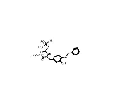 CNC(=O)C(Cc1ccc(OCc2ccccc2)c(O)c1)NC(=O)OC(C)(C)C